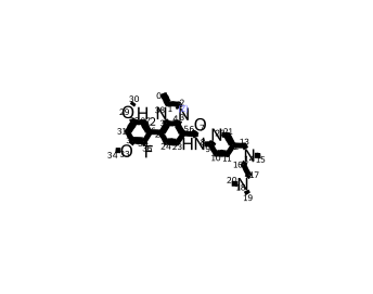 C=C/C=N\c1c(C(=O)Nc2ccc(CN(C)CCN(C)C)cn2)ccc(-c2cc(OC)cc(OC)c2F)c1N